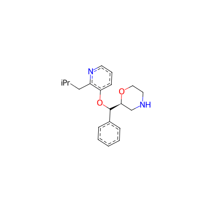 CC(C)Cc1ncccc1OC(c1ccccc1)[C@@H]1CNCCO1